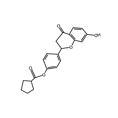 O=C1CC(c2ccc(OC(=O)C3CCCC3)cc2)Oc2cc(O)ccc21